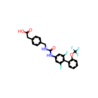 O=C(O)Cc1ccc(CNC(=O)Nc2cc(F)c(-c3ccccc3OC(F)(F)F)c(F)c2)cc1